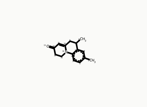 Cc1ccc2c(c1)C(C)CC1=CC(=O)CCN12